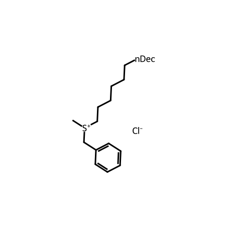 CCCCCCCCCCCCCCCC[S+](C)Cc1ccccc1.[Cl-]